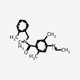 C/C=N/c1cc(C)c(C(=O)N(C)Cc2ccccc2C)cc1C